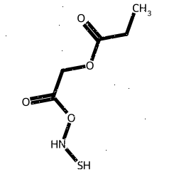 CCC(=O)OCC(=O)ONS